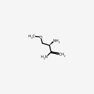 C=C(N)[C@H](N)COC